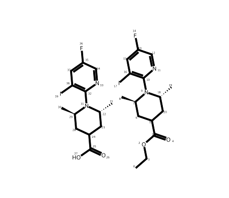 CCOC(=O)C1C[C@@H](C)N(c2ncc(F)cc2I)[C@H](C)C1.C[C@@H]1CC(C(=O)O)C[C@@H](C)N1c1ncc(F)cc1I